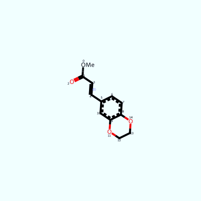 COC(=O)/C=C/c1ccc2c(c1)OCCO2